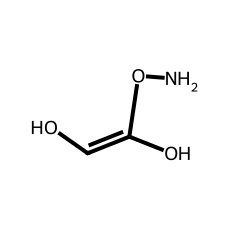 NOC(O)=CO